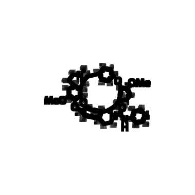 COc1ccc2cc1Oc1ccc(cc1)CC1c3c(cc(OC)c4c3Oc3cc5c(cc3O4)CCN(C(=O)Nc3ccncc3)C5C2)CCN1C